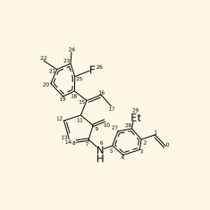 C=Cc1ccc(NC(=C)C(=C)C(/C=C\C)/C(=C\C)c2ccc(C)c(C)c2F)cc1CC